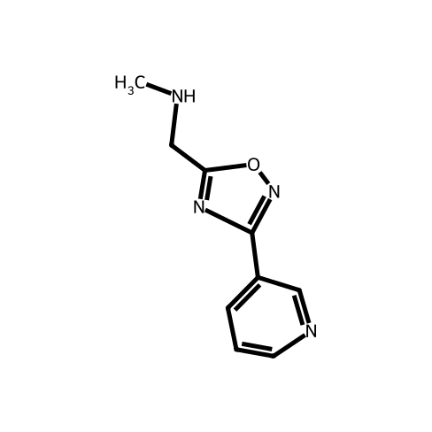 CNCc1nc(-c2cccnc2)no1